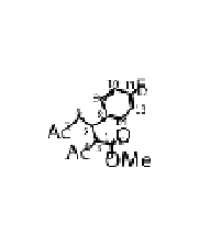 COC(=O)C(C(C)=O)C(CC(C)=O)c1ccc(F)cc1